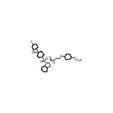 COc1cc(F)ccc1-c1ccc(S(=O)(=O)N2c3ccccc3C[C@H]2C(=O)NCCOc2ccc(CC(=O)O)cc2)cc1